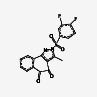 Cc1c2c(nn1S(=O)(=O)c1ccc(F)c(F)c1)-c1ccccc1C(=O)C2=O